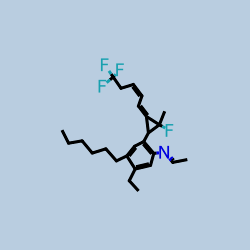 C/C=N/c1cc(CC)c(CCCCCC)cc1C1/C(=C/C=C\CC(F)(F)F)C1(C)F